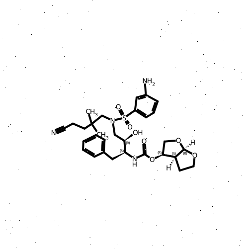 CC(C)(CCC#N)CN(C[C@@H](O)[C@H](Cc1ccccc1)NC(=O)O[C@H]1CO[C@H]2OCC[C@H]21)S(=O)(=O)c1cccc(N)c1